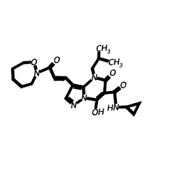 CC(C)Cn1c(=O)c(C(=O)NC2CC2)c(O)n2ncc(/C=C/C(=O)N3CCCCCO3)c12